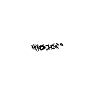 CC(C)(C)OC(=O)N1CCC(C2CCN(c3ccc(C(=O)Nc4ncc[nH]4)cc3)CC2)CC1